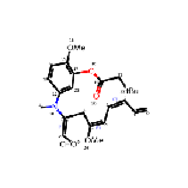 C=C/C=C\C=C(/C/C(=C\C=O)N(C)c1ccc(OC)c(OC(=O)CC(C)(C)C)c1)OC